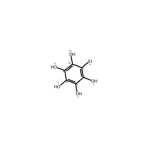 CCc1c(O)c(O)c(O)c(O)c1O